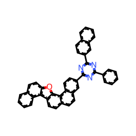 c1ccc(-c2nc(-c3ccc4ccccc4c3)nc(-c3ccc4c(ccc5ccc6c(oc7ccc8ccccc8c76)c54)c3)n2)cc1